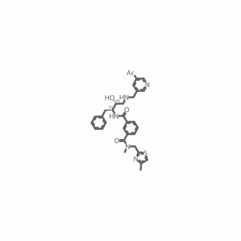 CC(=O)c1cncc(CNC[C@@H](O)[C@H](Cc2ccccc2)NC(=O)c2cccc(C(=O)N(C)Cc3nc(C)cs3)c2)c1